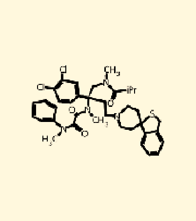 CC(C)C(=O)N(C)C[C@](CCN1CCC2(CC1)SCc1ccccc12)(c1ccc(Cl)c(Cl)c1)N(C)C(=O)C(=O)N(C)c1ccccc1